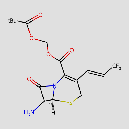 CC(C)(C)C(=O)OCOC(=O)C1=C(C=CC(F)(F)F)CS[C@H]2C(N)C(=O)N12